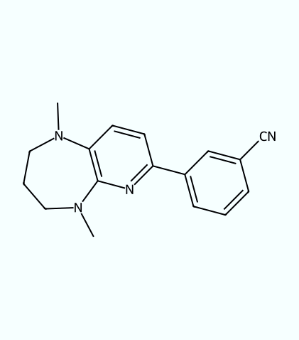 CN1CCCN(C)c2nc(-c3cccc(C#N)c3)ccc21